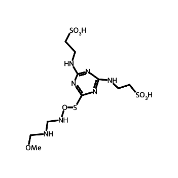 COCNCNOSc1nc(NCCS(=O)(=O)O)nc(NCCS(=O)(=O)O)n1